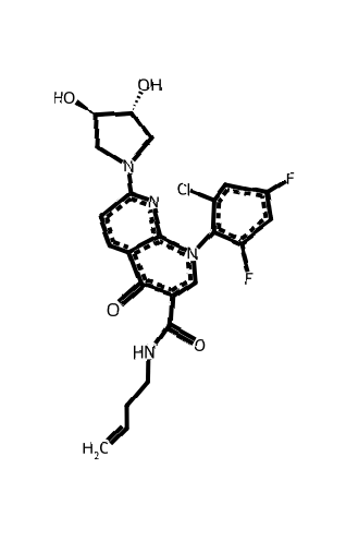 C=CCCNC(=O)c1cn(-c2c(F)cc(F)cc2Cl)c2nc(N3C[C@@H](O)[C@H](O)C3)ccc2c1=O